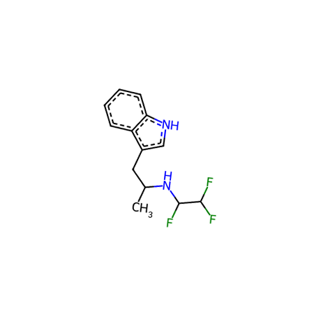 CC(Cc1c[nH]c2ccccc12)NC(F)C(F)F